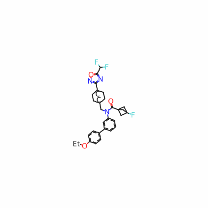 CCOc1ccc(-c2cccc(N(CC34CCC(c5noc(C(F)F)n5)(CC3)CC4)C(=O)C34CC(F)(C3)C4)c2)cc1